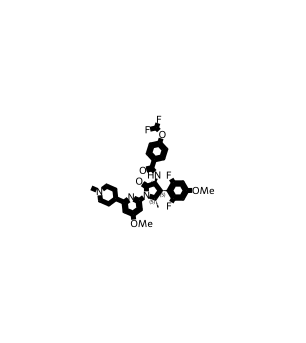 COc1cc(C2CCN(C)CC2)nc(N2C(=O)[C@@H](NC(=O)c3ccc(OC(F)F)cc3)[C@H](c3c(F)cc(OC)cc3F)[C@@H]2C)c1